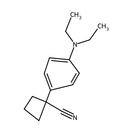 CCN(CC)c1ccc(C2(C#N)CCC2)cc1